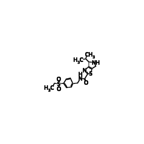 CCS(=O)(=O)c1ccc(CNC(=O)c2nc3c(s2)CNC3C(C)C)cc1